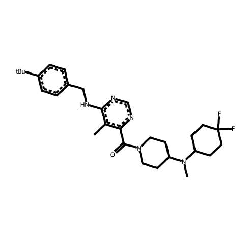 Cc1c(NCc2ccc(C(C)(C)C)cc2)ncnc1C(=O)N1CCC(N(C)C2CCC(F)(F)CC2)CC1